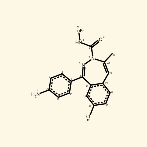 CCCNC(=O)N1N=C(c2ccc(N)cc2)c2cc(Cl)ccc2C=C1C